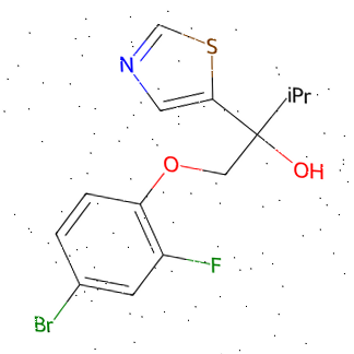 CC(C)C(O)(COc1ccc(Br)cc1F)c1cncs1